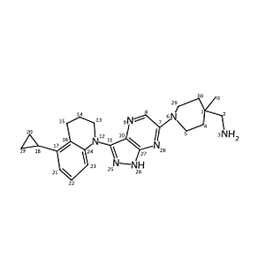 CC1(CN)CCN(c2cnc3c(N4CCCc5c(C6CC6)cccc54)n[nH]c3n2)CC1